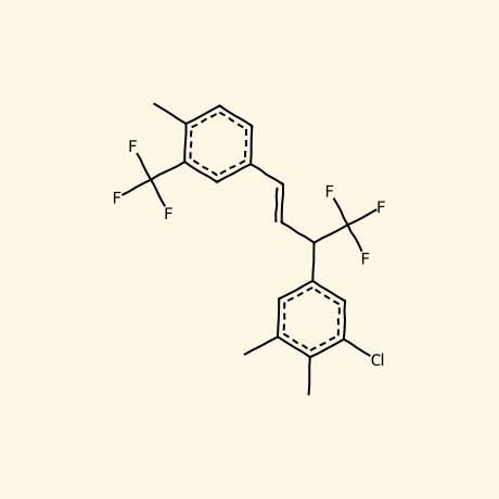 Cc1ccc(/C=C/C(c2cc(C)c(C)c(Cl)c2)C(F)(F)F)cc1C(F)(F)F